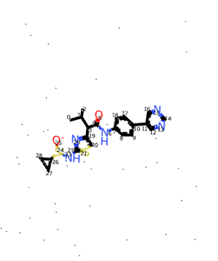 CC(C)C(C(=O)Nc1ccc(-c2cncnc2)cc1)c1csc(N[S+]([O-])C2CC2)n1